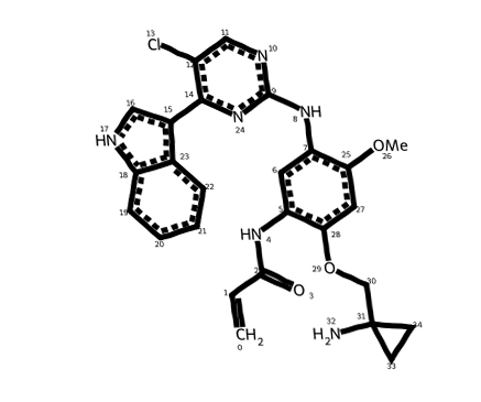 C=CC(=O)Nc1cc(Nc2ncc(Cl)c(-c3c[nH]c4ccccc34)n2)c(OC)cc1OCC1(N)CC1